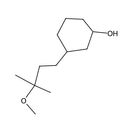 COC(C)(C)CCC1CCCC(O)C1